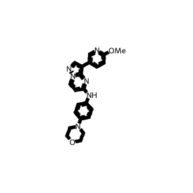 COc1ccc(-c2cnn3ccc(Nc4ccc(N5CCOCC5)cc4)nc23)cn1